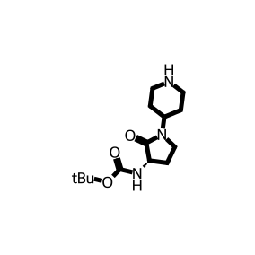 CC(C)(C)OC(=O)N[C@H]1CCN(C2CCNCC2)C1=O